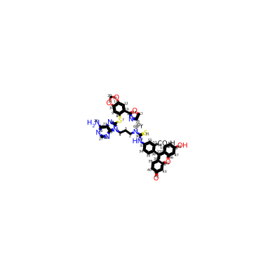 CC(C)N(CCCn1c(Sc2cc3c(cc2-c2ncco2)OCO3)nc2c(N)ncnc21)C(=S)Nc1ccc(-c2c3ccc(=O)cc-3oc3cc(O)ccc23)c(C(=O)O)c1